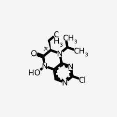 CC[C@@H]1C(=O)N(O)c2cnc(Cl)nc2N1C(C)C